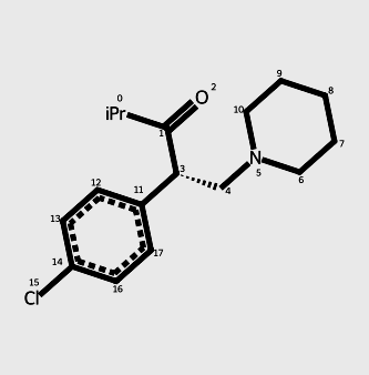 CC(C)C(=O)[C@H](CN1CCCCC1)c1ccc(Cl)cc1